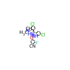 CN(C)Cc1cc(Cl)ccc1C(NNOc1ccc(C#N)c(F)c1)c1ccc(Cl)cc1